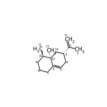 C=C(C)[C@@H]1CC=C2CCC[C@@H](C)[C@@]2(C)C1